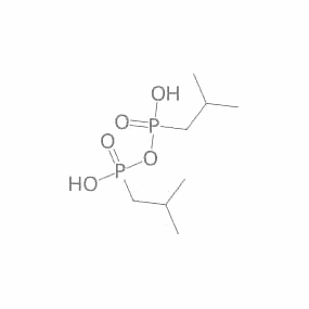 CC(C)CP(=O)(O)OP(=O)(O)CC(C)C